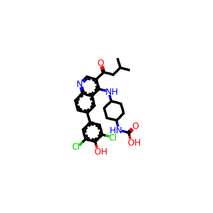 CC(C)CC(=O)c1cnc2ccc(-c3cc(Cl)c(O)c(Cl)c3)cc2c1NC1CCC(NC(=O)O)CC1